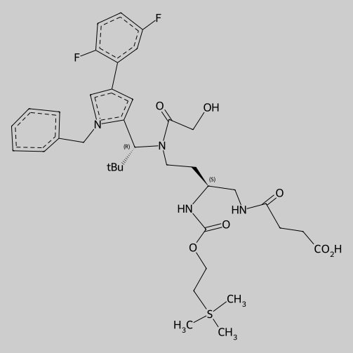 CC(C)(C)[C@H](c1cc(-c2cc(F)ccc2F)cn1Cc1ccccc1)N(CC[C@@H](CNC(=O)CCC(=O)O)NC(=O)OCCS(C)(C)C)C(=O)CO